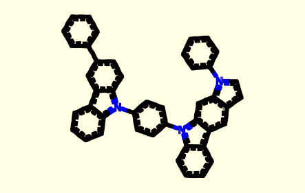 c1ccc(-c2ccc3c(c2)c2ccccc2n3-c2ccc(-n3c4ccccc4c4cc5ccn(-c6ccccc6)c5cc43)cc2)cc1